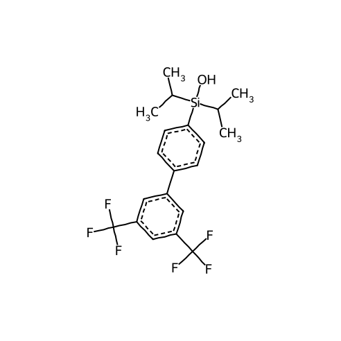 CC(C)[Si](O)(c1ccc(-c2cc(C(F)(F)F)cc(C(F)(F)F)c2)cc1)C(C)C